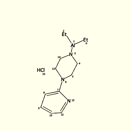 C[CH2][Al]([CH2]C)[N]1CCN(c2ccccn2)CC1.Cl